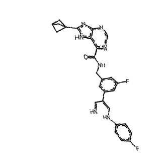 N=C/C(=C\Nc1ccc(F)cc1)c1cc(F)cc(CNC(=O)c2ncnc3nc(C45CC(C4)C5)[nH]c23)c1